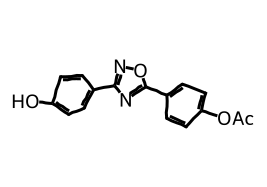 CC(=O)Oc1ccc(-c2nc(-c3ccc(O)cc3)no2)cc1